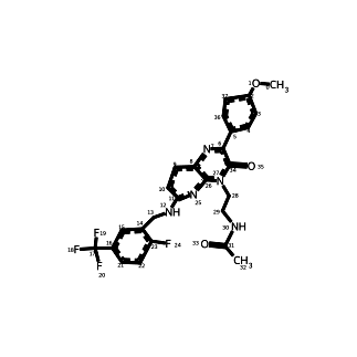 COc1ccc(-c2nc3ccc(NCc4cc(C(F)(F)F)ccc4F)nc3n(CCNC(C)=O)c2=O)cc1